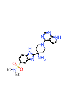 CCN(CC)S(=O)(=O)c1ccc2[nH]c(C3(N)CCN(c4ncnc5[nH]ccc45)CC3)nc2c1